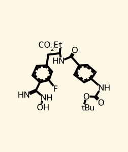 CCOC(=O)C(Cc1ccc(C(=N)NO)c(F)c1)NC(=O)c1ccc(NC(=O)OC(C)(C)C)cc1